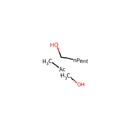 CC(C)=O.CCCCCCO.CO